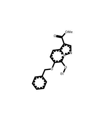 CCOc1c(OCc2ccccc2)ccc2c(C(=O)OC)cnn12